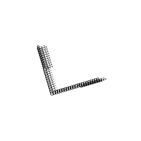 [Ba+2].[Ba+2].[Ba+2].[Ba+2].[Ba+2].[Ba+2].[Ba+2].[Ba+2].[Ba+2].[Ba+2].[Ba+2].[Ba+2].[Ba+2].[Ba+2].[Ba+2].[Ba+2].[Ba+2].[Ba+2].[Ba+2].[Ba+2].[O-2].[O-2].[O-2].[O-2].[O-2].[O-2].[O-2].[O-2].[O-2].[O-2].[O-2].[O-2].[O-2].[O-2].[O-2].[O-2].[O-2].[O-2].[O-2].[O-2].[O-2].[O-2].[O-2]